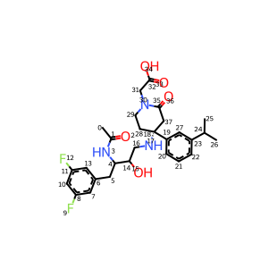 CC(=O)NC(Cc1cc(F)cc(F)c1)C(O)CN[C@]1(c2cccc(C(C)C)c2)CCN(CC(=O)O)C(=O)C1